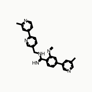 C=Nc1cc(-c2cncc(C)c2)ccc1C(=N)NCc1ccc(-c2ccnc(C)c2)nc1